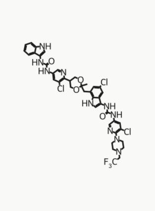 CC1(Cc2cc(Cl)cc3c(NC(=O)Nc4cnc(N5CCN(CC(F)(F)F)CC5)c(Cl)c4)c[nH]c23)OCC(c2ncc(NC(=O)Nc3c[nH]c4ccccc34)cc2Cl)CO1